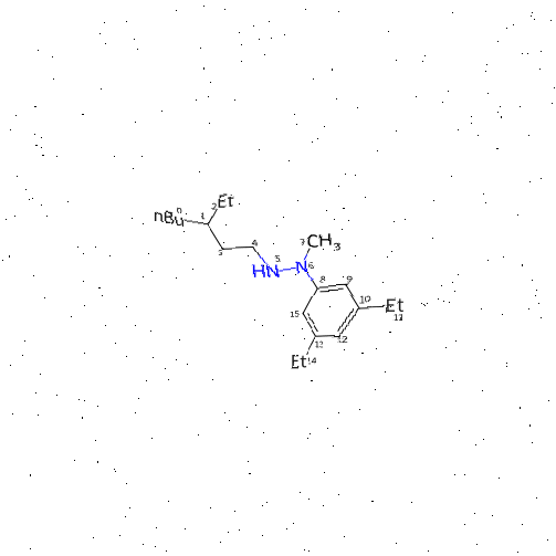 CCCCC(CC)CCNN(C)c1cc(CC)cc(CC)c1